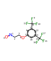 O=NCCOc1cc(C(F)(F)F)cc(C(F)(F)F)c1